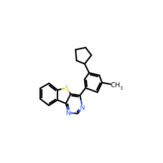 Cc1cc(-c2ncnc3c2sc2ccccc23)cc(C2CCCC2)c1